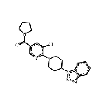 O=C(c1cnc(N2CCC(n3nnc4ccccc43)CC2)c(Cl)c1)N1CCCC1